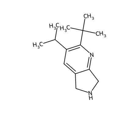 CC(C)c1cc2c(nc1C(C)(C)C)CNC2